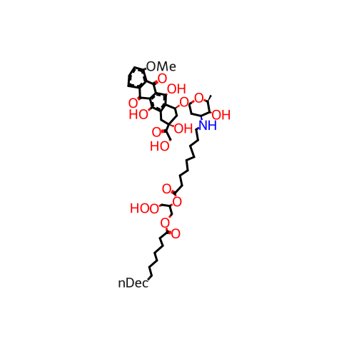 CCCCCCCCCCCCCCCCC(=O)OCC(COO)OC(=O)CCCCCCCCN[C@H]1CC(O[C@H]2C[C@](O)(C(=O)CO)Cc3c(O)c4c(c(O)c32)C(=O)c2c(OC)cccc2C4=O)O[C@@H](C)[C@H]1O